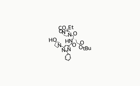 CCOC(=O)ON1CCN(C(=O)[C@H](CCC(=O)OC(C)(C)C)NC(=O)c2cc(N3CC[C@H](O)C3)nc(-c3ccccc3)n2)CC1